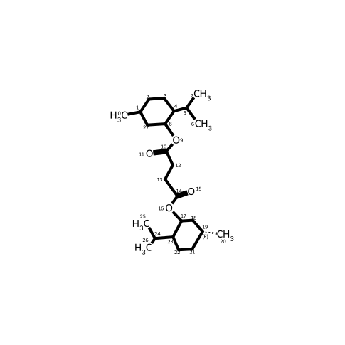 CC1CCC(C(C)C)C(OC(=O)CCC(=O)OC2C[C@H](C)CCC2C(C)C)C1